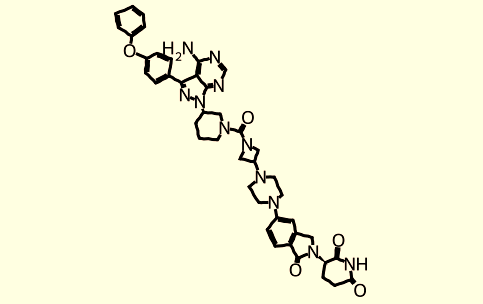 Nc1ncnc2c1c(-c1ccc(Oc3ccccc3)cc1)nn2[C@@H]1CCCN(C(=O)N2CC(N3CCN(c4ccc5c(c4)CN([C@@H]4CCC(=O)NC4=O)C5=O)CC3)C2)C1